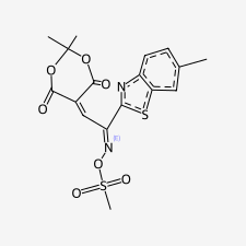 Cc1ccc2nc(/C(C=C3C(=O)OC(C)(C)OC3=O)=N/OS(C)(=O)=O)sc2c1